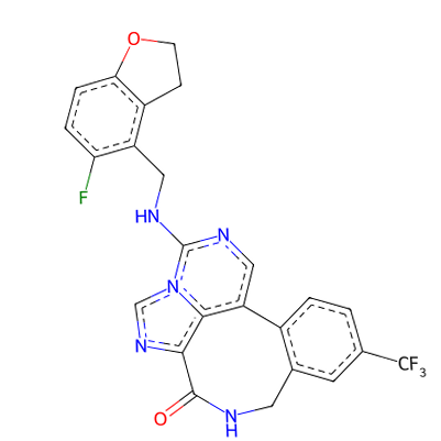 O=C1NCc2cc(C(F)(F)F)ccc2-c2cnc(NCc3c(F)ccc4c3CCO4)n3cnc1c23